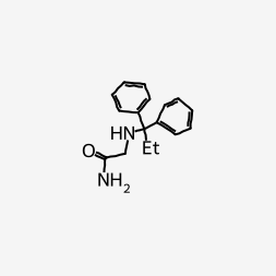 CCC(NCC(N)=O)(c1ccccc1)c1ccccc1